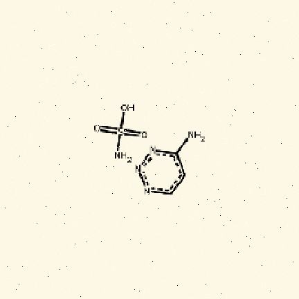 NS(=O)(=O)O.Nc1ccnnn1